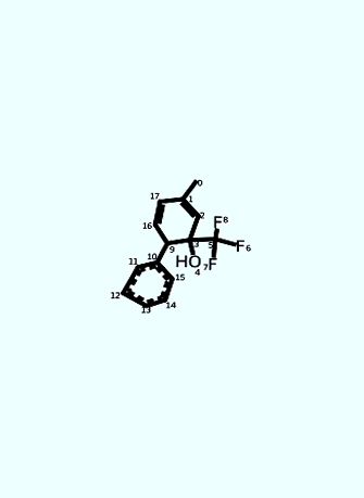 CC1=CC(O)(C(F)(F)F)C(c2ccccc2)C=C1